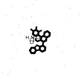 Cc1ccc(-c2c([CH2][Ti]([NH2])([Cl])[Cl])c(-c3cccc4c3Cc3ccccc3-4)cc3ccccc23)c(C)c1C